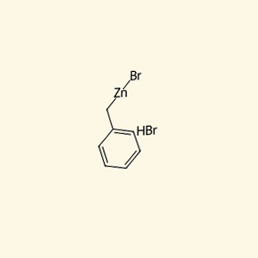 Br.[Br][Zn][CH2]c1ccccc1